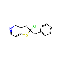 ClC1(Cc2ccccc2)CC2CN=CC=C2S1